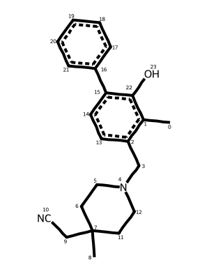 Cc1c(CN2CCC(C)(CC#N)CC2)ccc(-c2ccccc2)c1O